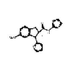 COc1ccc2c(c1)C(c1cccs1)[C@](C)(C(=O)Nc1nccs1)C2